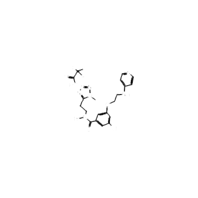 CC(C)N(CCc1nnnn1C)C(=O)c1cc(Cl)cc(OCCNc2ccncc2)c1.O=C(O)C(F)(F)F